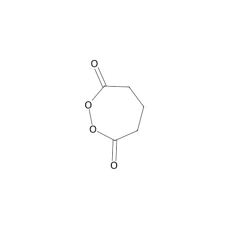 O=C1CCCC(=O)OO1